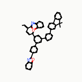 C=C(/C=C\C(=C/C)c1nc2ccccc2o1)c1cc(-c2ccc(-c3nc4ccccc4o3)cc2)cc(-c2cccc(-c3ccc4c(c3)C(C)(C)c3ccccc3-4)c2)c1